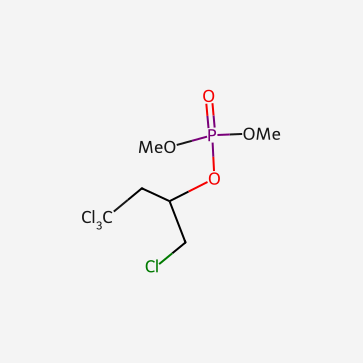 COP(=O)(OC)OC(CCl)CC(Cl)(Cl)Cl